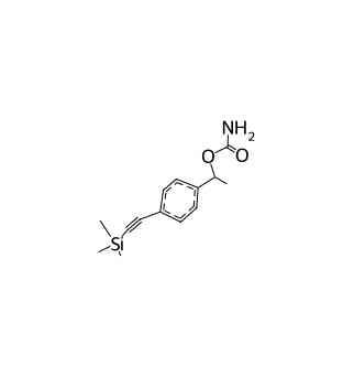 CC(OC(N)=O)c1ccc(C#C[Si](C)(C)C)cc1